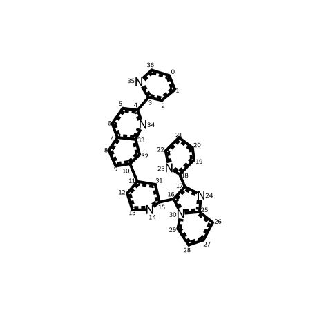 c1ccc(-c2ccc3ccc(-c4ccnc(-c5c(-c6ccccn6)nc6ccccn56)c4)cc3n2)nc1